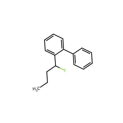 CCCC(F)c1ccccc1-c1ccccc1